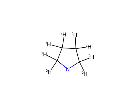 [2H]C1([2H])[N]C([2H])([2H])C([2H])([2H])C1([2H])[2H]